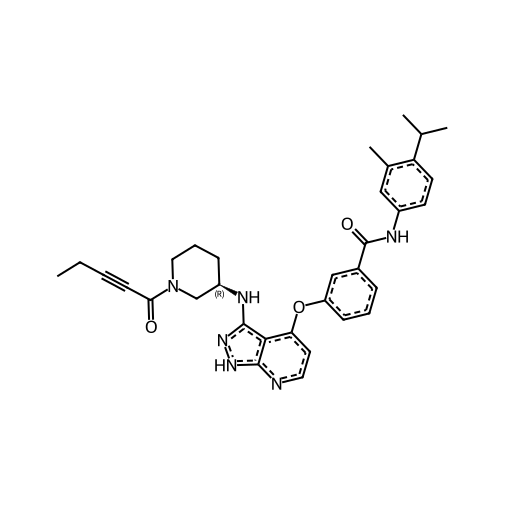 CCC#CC(=O)N1CCC[C@@H](Nc2n[nH]c3nccc(Oc4cccc(C(=O)Nc5ccc(C(C)C)c(C)c5)c4)c23)C1